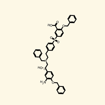 Nc1cc([C@H](O)CN(CCc2ccc(S(=O)(=O)c3ccc(OCc4ccccc4)c(C(=O)O)c3)cc2)Cc2ccccc2)ccc1OCc1ccccc1